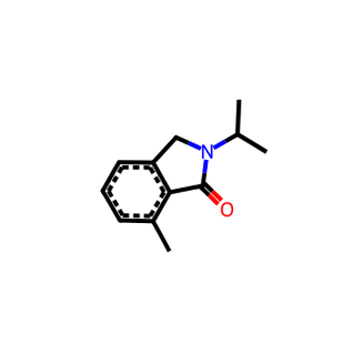 Cc1cccc2c1C(=O)N(C(C)C)C2